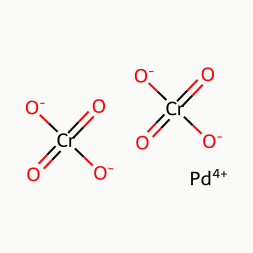 [O]=[Cr](=[O])([O-])[O-].[O]=[Cr](=[O])([O-])[O-].[Pd+4]